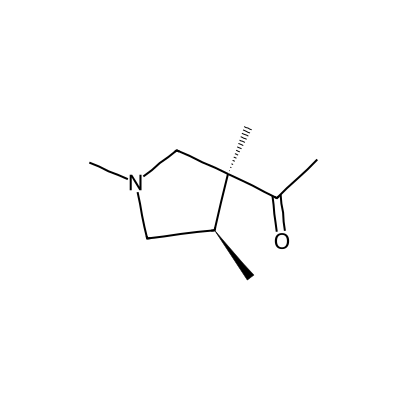 CC(=O)[C@]1(C)CN(C)C[C@@H]1C